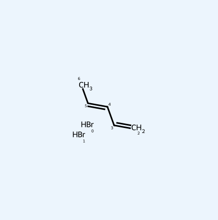 Br.Br.C=CC=CC